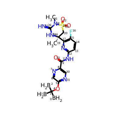 BC(B)(B)Oc1cnc(C(=O)Nc2ccc(F)c([C@]3(C)CS(=O)(=O)N(C)C(=N)N3)n2)cn1